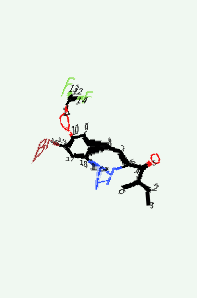 C=C(CC)C(=O)c1cc2cc(OC(F)F)c(Br)cc2[nH]1